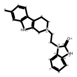 Cc1ccc2c3c([nH]c2c1)CN(CCn1c(=O)[nH]c2ccccc21)CC3